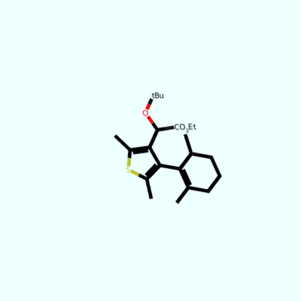 CCOC(=O)C(OC(C)(C)C)c1c(C)sc(C)c1C1=C(C)CCCC1C